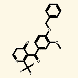 COc1cc(C(=O)C2=C(C(F)(F)F)N=CCC2=O)ccc1OCc1ccccc1